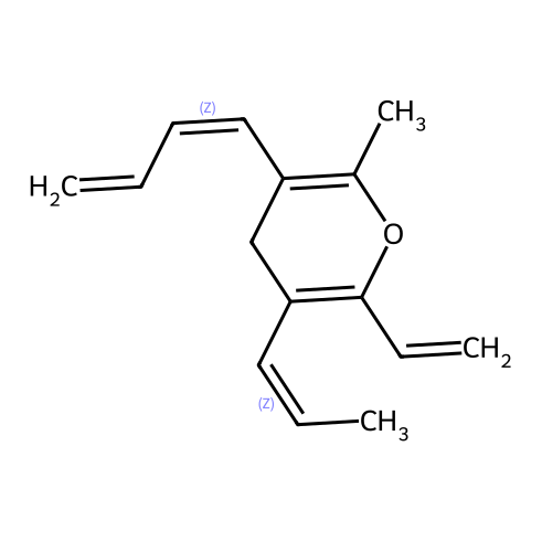 C=C/C=C\C1=C(C)OC(C=C)=C(/C=C\C)C1